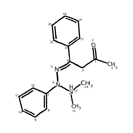 CC(=O)CC(=NN(c1ccccc1)[SiH](C)C)c1ccccc1